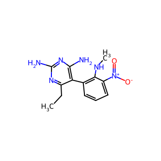 CCc1nc(N)nc(N)c1-c1cccc([N+](=O)[O-])c1NC